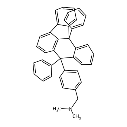 CN(C)Cc1ccc(C2(c3ccccc3)c3ccccc3C3(c4ccccc4)c4ccccc4-c4cccc2c43)cc1